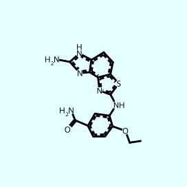 CCOc1ccc(C(N)=O)cc1Nc1nc2c(ccc3[nH]c(N)nc32)s1